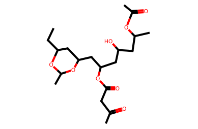 CCC1CC(CC(CC(O)CC(C)OC(C)=O)OC(=O)CC(C)=O)OC(C)O1